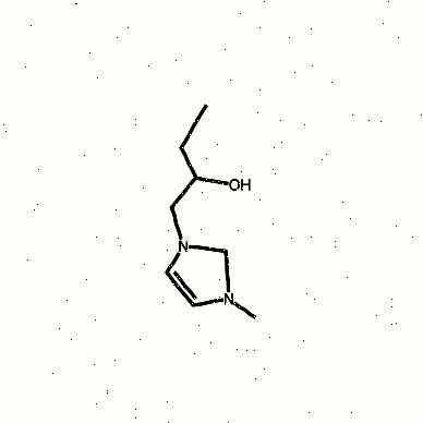 CCC(O)CN1C=CN(C)C1